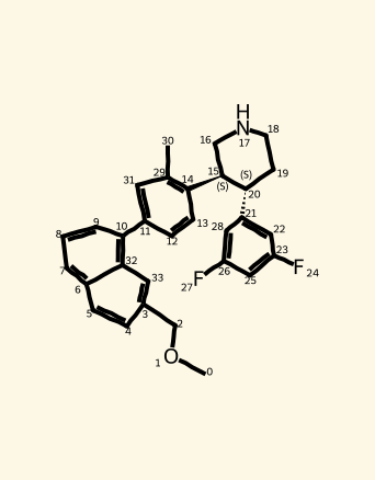 COCc1ccc2cccc(-c3ccc([C@H]4CNCC[C@@H]4c4cc(F)cc(F)c4)c(C)c3)c2c1